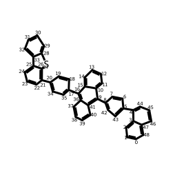 c1ccc2c(-c3ccc(-c4c5ccccc5c(-c5ccc(-c6cccc7c6sc6ccccc67)cc5)c5ccccc45)cc3)cccc2c1